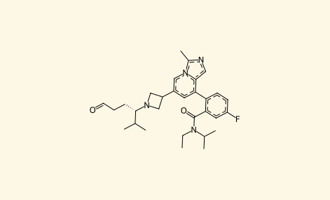 CCN(C(=O)c1cc(F)ccc1-c1cc(C2CN([C@@H](CCC=O)C(C)C)C2)cn2c(C)ncc12)C(C)C